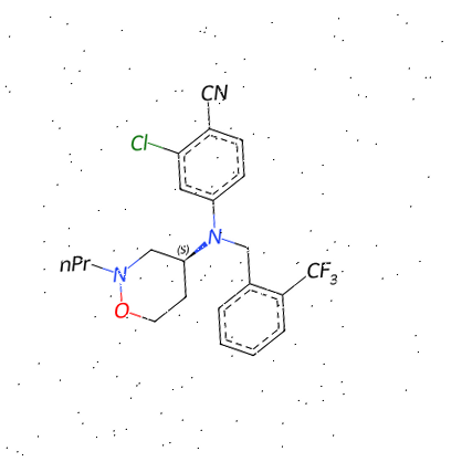 CCCN1C[C@@H](N(Cc2ccccc2C(F)(F)F)c2ccc(C#N)c(Cl)c2)CCO1